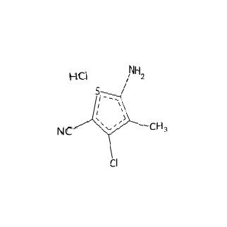 Cc1c(N)sc(C#N)c1Cl.Cl